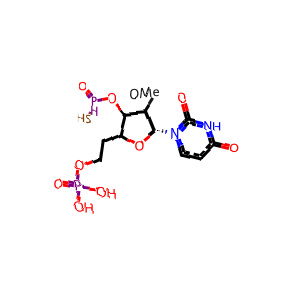 COC1C(O[PH](=O)S)C(CCOP(=O)(O)O)O[C@H]1n1ccc(=O)[nH]c1=O